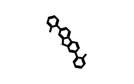 Cc1ccccc1-c1ccc2c(c1)[CH]c1cc(-c3ccccc3C)ccc1-2